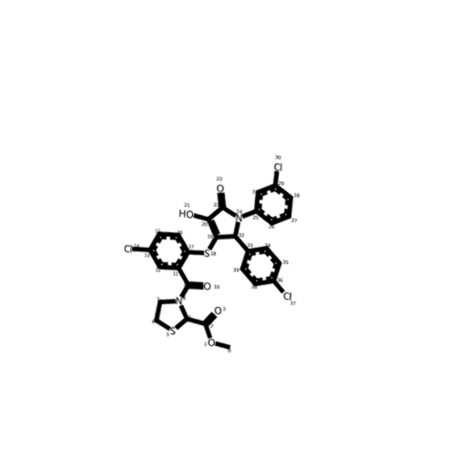 COC(=O)C1SCCN1C(=O)c1cc(Cl)ccc1SC1=C(O)C(=O)N(c2cccc(Cl)c2)C1c1ccc(Cl)cc1